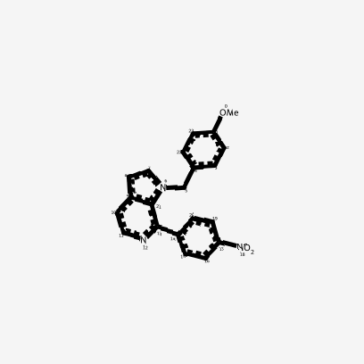 COc1ccc(Cn2ccc3ccnc(-c4ccc([N+](=O)[O-])cc4)c32)cc1